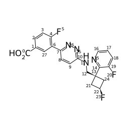 O=C(O)c1ccc(F)c(-c2ccc(NC[C@]3(c4ncccc4F)C[C@H](F)C3)nn2)c1